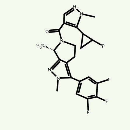 Cn1nc2c(c1-c1cc(F)c(F)c(F)c1)CCN(C(=O)c1cnn(C)c1C1CC1F)[C@H]2N